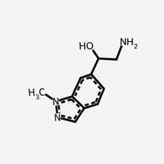 Cn1ncc2ccc(C(O)CN)cc21